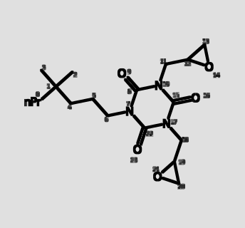 CCCC(C)(C)CCCn1c(=O)n(CC2CO2)c(=O)n(CC2CO2)c1=O